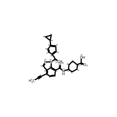 CC#Cc1ccc(C(=O)NC2CCC(C(=O)O)CC2)c2c1cnn2C(C)c1ccc(C2CC2)cc1